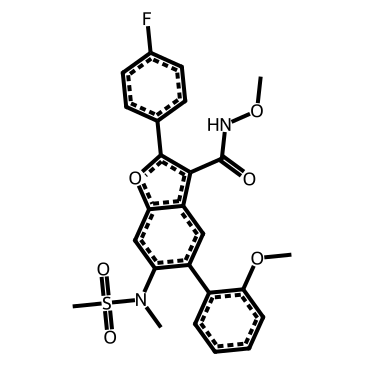 CONC(=O)c1c(-c2ccc(F)cc2)oc2cc(N(C)S(C)(=O)=O)c(-c3ccccc3OC)cc12